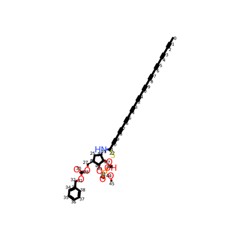 CC#CC#CC#CC#CC#CC#CC#CC#CC#CC#CC(=S)N[C@H]1C[C@H](COC(=O)OCc2ccccc2)[C@H](OP(=O)(O)OC)C1OC